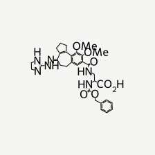 COc1c(C(=O)NCC(NC(=O)OCc2ccccc2)C(=O)O)cc2c(c1OC)C1=C(CCC1)C(=NNC1=NCCN1)CC2